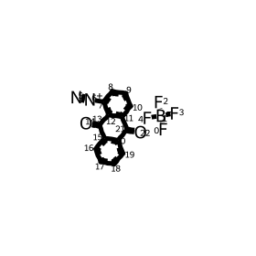 F[B-](F)(F)F.N#[N+]c1cccc2c1C(=O)c1ccccc1C2=O